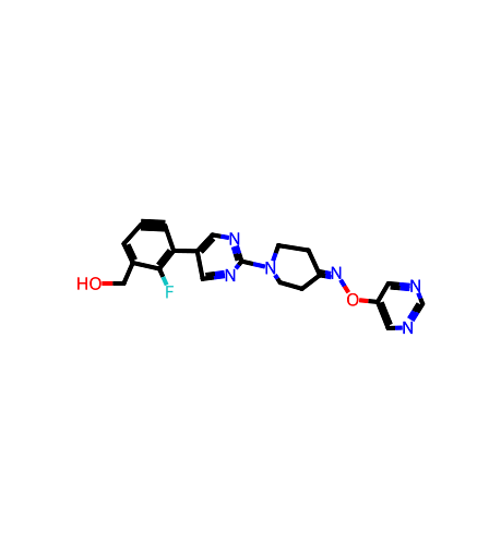 OCc1cc#cc(-c2cnc(N3CCC(=NOc4cncnc4)CC3)nc2)c1F